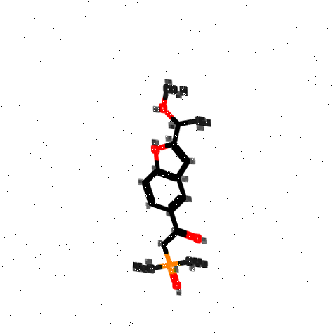 COP(=O)(CC(=O)c1ccc2oc(C(OC(=O)O)C(C)(C)C)cc2c1)OC